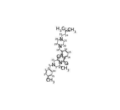 Cc1ccc(CN2CC(C)N(C(=O)c3cccc(CN4CCN(CCC(C)C)CC4)c3)C(C)C2)cc1